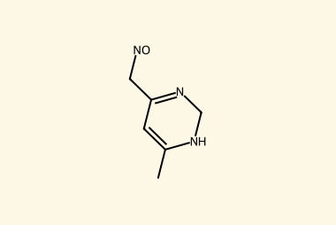 CC1=CC(CN=O)=NCN1